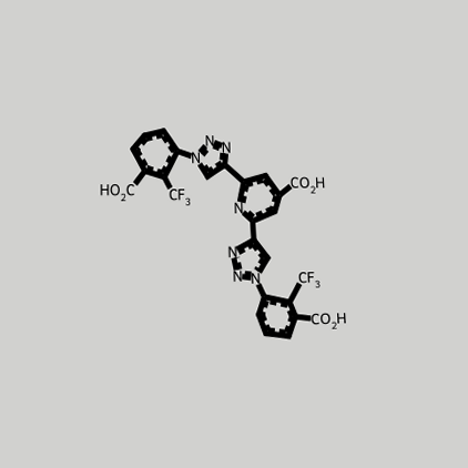 O=C(O)c1cc(-c2cn(-c3cccc(C(=O)O)c3C(F)(F)F)nn2)nc(-c2cn(-c3cccc(C(=O)O)c3C(F)(F)F)nn2)c1